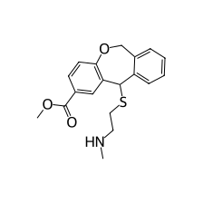 CNCCSC1c2ccccc2COc2ccc(C(=O)OC)cc21